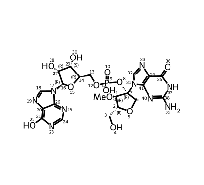 CO[C@@H]1[C@@H](CO)OC[C@]1(OP(=O)(O)OC[C@H]1O[C@@H](n2cnc3c(O)ncnc32)[C@H](O)[C@@H]1O)n1cnc2c(=O)[nH]c(N)nc21